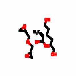 C(OCC1CO1)C1CO1.C=CC(=O)O.OCCCCCCO